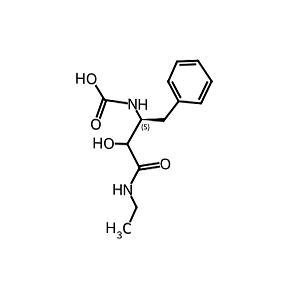 CCNC(=O)C(O)[C@H](Cc1ccccc1)NC(=O)O